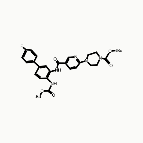 CC(C)(C)OC(=O)Nc1ccc(-c2ccc(F)cc2)cc1NC(=O)c1ccc(N2CCN(C(=O)OC(C)(C)C)CC2)nc1